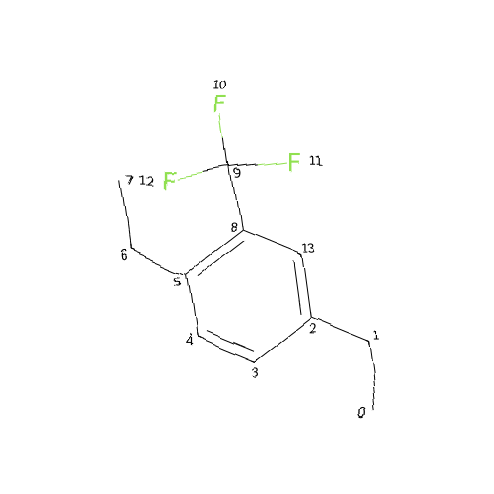 CCc1c[c]c(CC)c(C(F)(F)F)c1